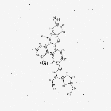 CC1=C(c2cccc(O)c2)C(c2ccc(OCC(CF)N3CCC(CF)C3)cc2)Oc2ccc(O)cc21